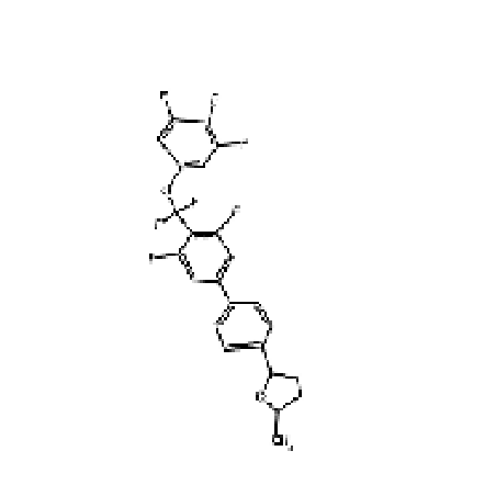 CC1CCC(c2ccc(-c3cc(F)c(C(F)(F)Oc4cc(F)c(F)c(F)c4)c(F)c3)cc2)O1